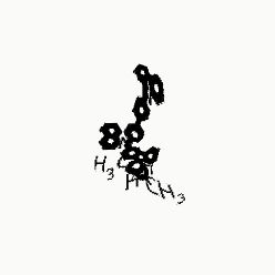 C[C@H]1C[C@@H]2C[C@H](C1)C1(c3ccccc3-c3cc(N(c4ccc(-c5ccc(-n6c7ccccc7c7ccccc76)cc5)cc4)c4cccc5ccccc45)ccc31)[C@H](C)C2